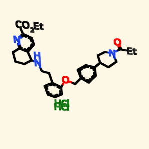 CCOC(=O)c1ccc2c(n1)CCCC2NCCc1ccccc1OCc1ccc(C2CCN(C(=O)CC)CC2)cc1.Cl.Cl